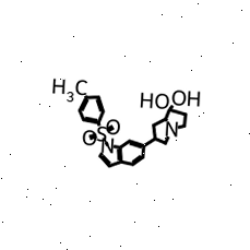 Cc1ccc(S(=O)(=O)n2ccc3ccc(C4CC5N(CCC5(O)O)C4)cc32)cc1